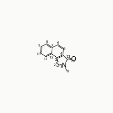 Cn1sc2c(ccc3ccccc32)c1=O